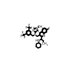 CCC(NC1CCCCC1)c1nc2cc(F)ccc2cc1CN(Cc1cc(C(F)(F)F)cc(C(F)(F)F)c1)c1nnn(C)n1